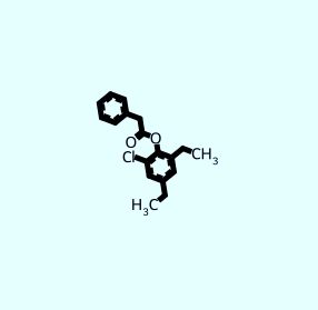 CCc1cc(Cl)c(OC(=O)Cc2ccccc2)c(CC)c1